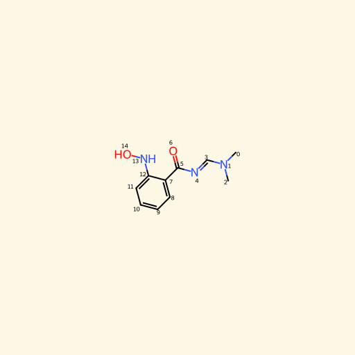 CN(C)/C=N/C(=O)c1ccccc1NO